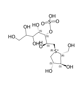 O=S(=O)(O)O[C@H]([C@H](O)C[S@+]1C[C@@H](O)[C@H](O)[C@H]1CO)[C@@H](O)C(O)C(O)CO